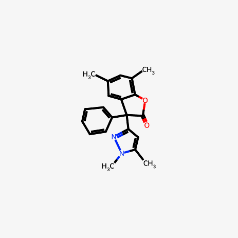 Cc1cc(C)c2c(c1)C(c1ccccc1)(c1cc(C)n(C)n1)C(=O)O2